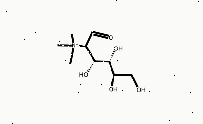 C[N+](C)(C)[C@@H](C=O)[C@@H](O)[C@H](O)[C@H](O)CO